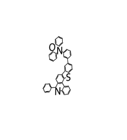 c1ccc(-c2nc3ccccc3c3c2ccc2c4cc(-c5cccc(N6c7ccccc7Oc7ccccc76)c5)ccc4sc23)cc1